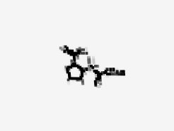 CCC(=O)[C@@H]1CCC[C@H]1NC(=O)OC